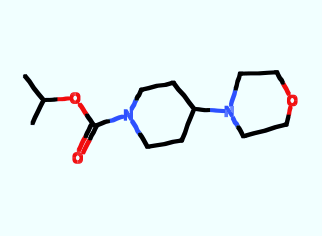 CC(C)OC(=O)N1CCC(N2CCOCC2)CC1